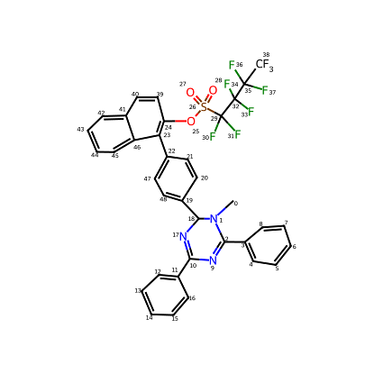 CN1C(c2ccccc2)=NC(c2ccccc2)=NC1c1ccc(-c2c(OS(=O)(=O)C(F)(F)C(F)(F)C(F)(F)C(F)(F)F)ccc3ccccc23)cc1